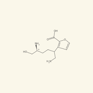 NCC(CC[C@H](N)CO)c1ccoc1C(=O)O